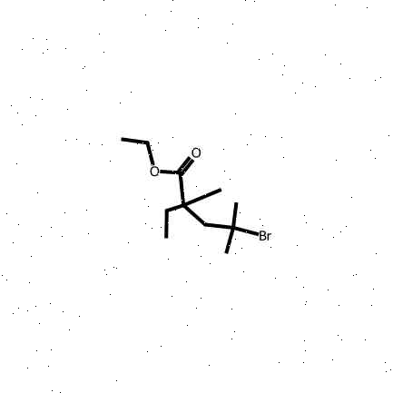 CCOC(=O)C(C)(CC)CC(C)(C)Br